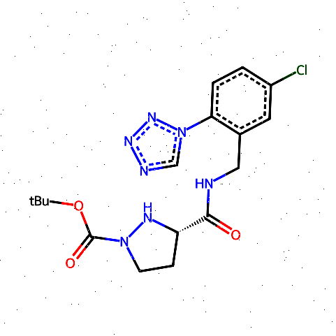 CC(C)(C)OC(=O)N1CC[C@@H](C(=O)NCc2cc(Cl)ccc2-n2cnnn2)N1